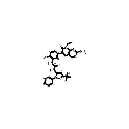 CCn1c(=O)c(-c2ccc(F)c(NC(=O)Nc3cc(C(C)(C)C)nn3-c3ccccc3)c2)cc2cnc(N)nc21